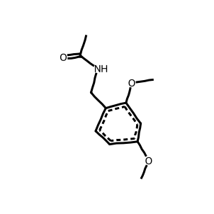 COc1ccc(CNC(C)=O)c(OC)c1